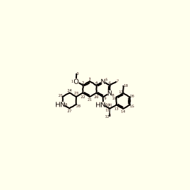 COc1cc2nc(C)nc(N[C@H](C)c3cccc(C)c3)c2cc1C1CCNCC1